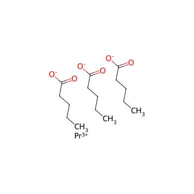 CCCCC(=O)[O-].CCCCC(=O)[O-].CCCCC(=O)[O-].[Pr+3]